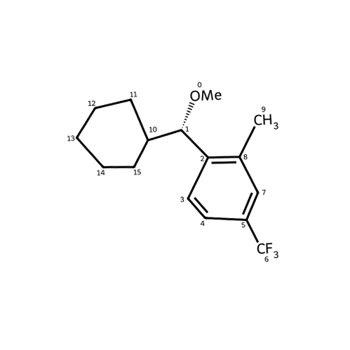 CO[C@H](c1ccc(C(F)(F)F)cc1C)C1CCCCC1